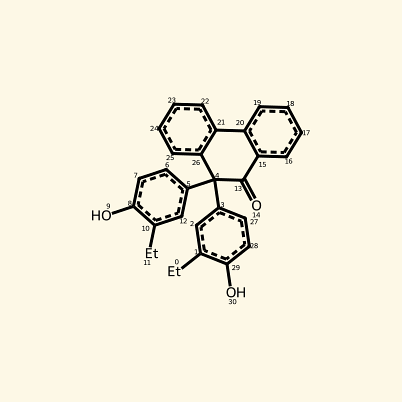 CCc1cc(C2(c3ccc(O)c(CC)c3)C(=O)c3ccccc3-c3ccccc32)ccc1O